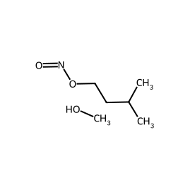 CC(C)CCON=O.CO